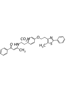 C/C(=C/C(=O)c1ccccc1)N[C@@H](Cc1ccc(OCCc2nc(-c3ccccc3)sc2C)cc1)C(=O)O